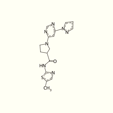 Cc1cnc(NC(=O)C2CCN(c3cc(-n4cccn4)ncn3)C2)s1